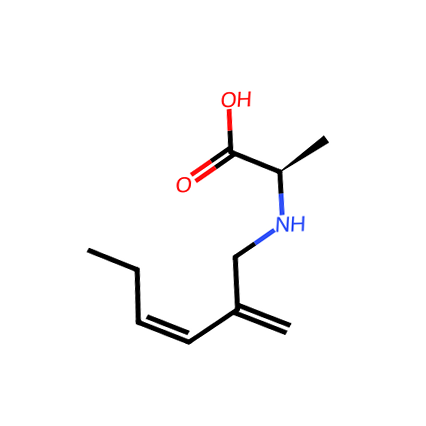 C=C(/C=C\CC)CN[C@H](C)C(=O)O